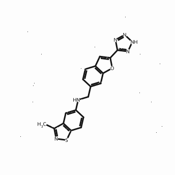 Cc1nsc2ccc(NCc3ccc4cc(-c5nn[nH]n5)oc4c3)cc12